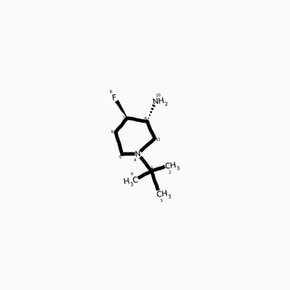 CC(C)(C)N1CC[C@@H](F)[C@H](N)C1